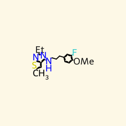 CCc1nc(NCCCc2ccc(OC)c(F)c2)c2cc(C)sc2n1